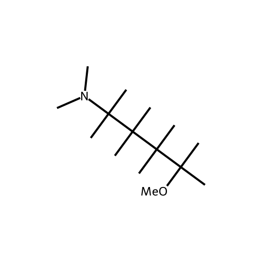 COC(C)(C)C(C)(C)C(C)(C)C(C)(C)N(C)C